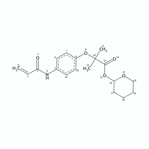 C=CC(=O)Nc1ccc(OC(C)(C)C(=O)OC2CCCCO2)cc1